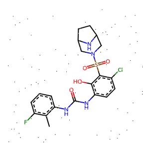 Cc1c(F)cccc1NC(=O)Nc1ccc(Cl)c(S(=O)(=O)N2CC3CCC(C2)N3)c1O